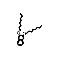 CCCCCCCCOc1cc2ccccc2cc1OCCCCCCCC